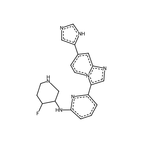 FC1CCNCC1Nc1cccc(-c2cnc3cc(-c4cnc[nH]4)ccn23)n1